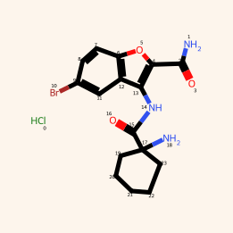 Cl.NC(=O)c1oc2ccc(Br)cc2c1NC(=O)C1(N)CCCCC1